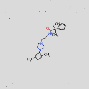 CCC(CC)(C(=O)NCCCN1CCN(c2cc(C)ccc2C)CC1)c1ccccc1